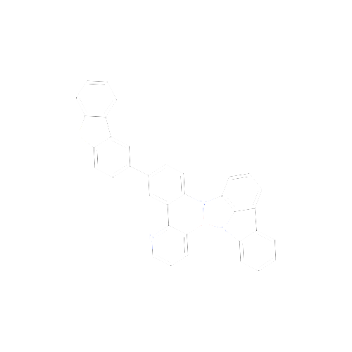 c1cnc2c(c1)B1N(c3ccc(-c4ccc5sc6ccccc6c5c4)cc3-2)c2cccc3c4ccccc4n1c23